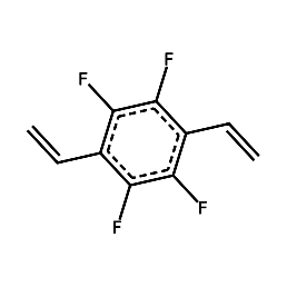 C=Cc1c(F)c(F)c(C=C)c(F)c1F